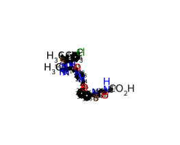 Cc1sc2c(c1C)C(c1ccc(Cl)cc1)=N[C@@H](CC(=O)N1CCN(CCOc3cccc4ccc(-c5nc(CC(=O)NCC(=O)O)cs5)cc34)CC1)c1nnc(C)n1-2